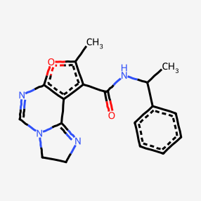 Cc1oc2c(c1C(=O)NC(C)c1ccccc1)C1=NCCN1C=N2